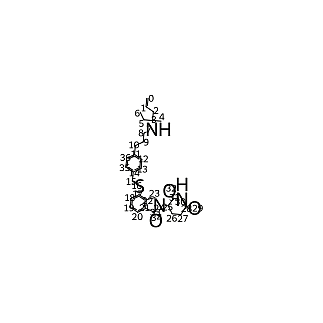 C=CCC(C)(CC)NCCCc1ccc(CSc2cccc3c2CN(C2CCC(=O)NC2=O)C3=O)cc1